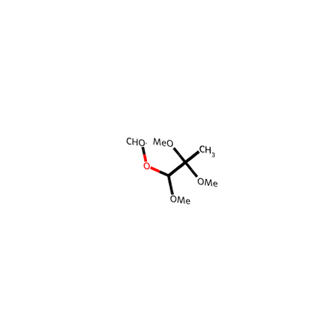 COC(O[C]=O)C(C)(OC)OC